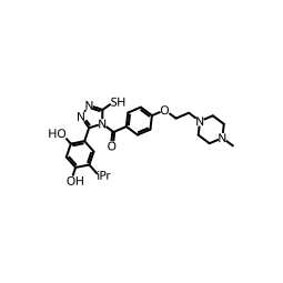 CC(C)c1cc(-c2nnc(S)n2C(=O)c2ccc(OCCN3CCN(C)CC3)cc2)c(O)cc1O